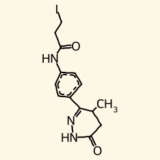 CC1CC(=O)NN=C1c1ccc(NC(=O)CCI)cc1